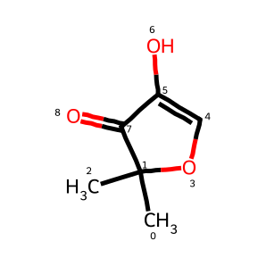 CC1(C)OC=C(O)C1=O